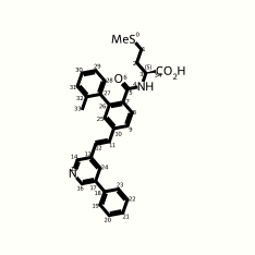 CSCC[C@H](NC(=O)c1ccc(C=Cc2cncc(-c3ccccc3)c2)cc1-c1ccccc1C)C(=O)O